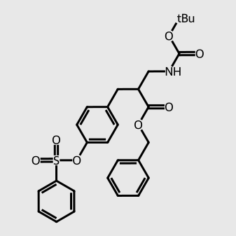 CC(C)(C)OC(=O)NCC(Cc1ccc(OS(=O)(=O)c2ccccc2)cc1)C(=O)OCc1ccccc1